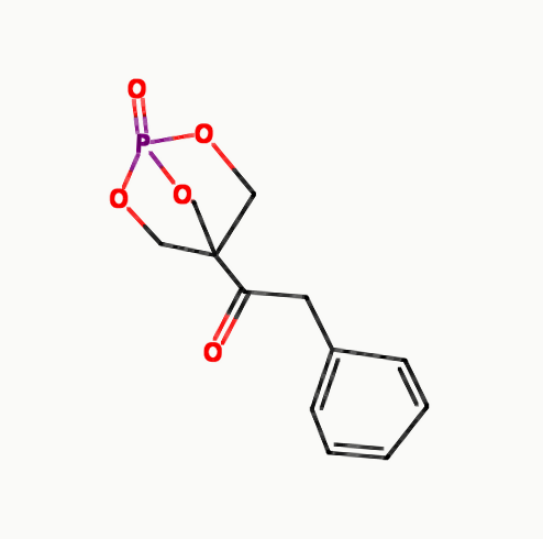 O=C(Cc1ccccc1)C12COP(=O)(OC1)OC2